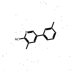 Cc1cccc(-c2cnc(C#N)c(C)c2)c1